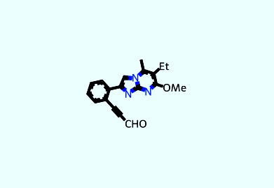 CCc1c(OC)nc2nc(-c3ccccc3C#CC=O)cn2c1C